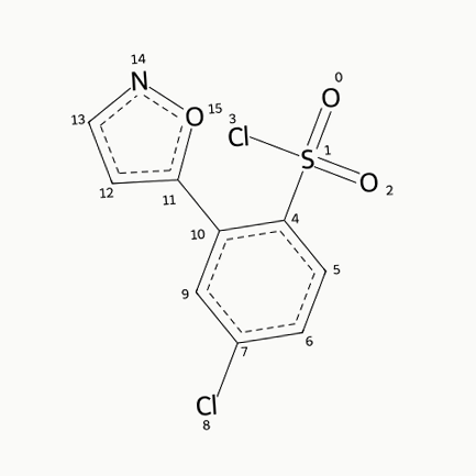 O=S(=O)(Cl)c1ccc(Cl)cc1-c1ccno1